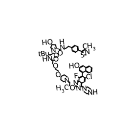 Cc1ncsc1-c1ccc(CCNC(=O)[C@@H]2C[C@@H](O)CN2C(=O)[C@@H](NC(=O)COCCOC2CCN(C[C@@H](C)Oc3nc(N4CCNCC4)c4cc(Cl)c(-c5cc(O)cc6ccccc56)c(F)c4n3)CC2)C(C)(C)C)cc1